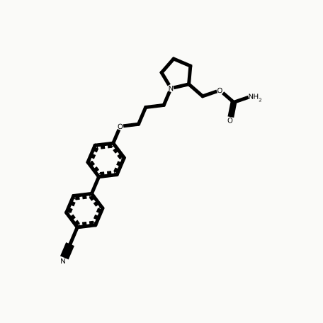 N#Cc1ccc(-c2ccc(OCCCN3CCCC3COC(N)=O)cc2)cc1